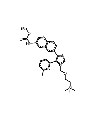 Cc1cccc(-c2c(-c3ccc4ncc(NC(=O)OC(C)(C)C)cc4c3)ncn2COCC[SiH](C)C)n1